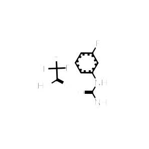 NC(=O)Nc1cccc(F)c1.O=C(O)C(F)(F)F